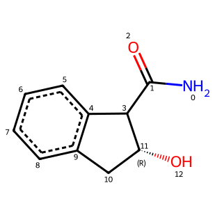 NC(=O)C1c2ccccc2C[C@H]1O